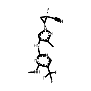 CNc1nc(Nc2cn([C@H]3C[C@@]3(C)C#N)nc2C)ncc1C(F)(F)F